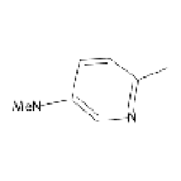 CNc1ccc(C)nc1